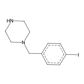 Ic1ccc(CN2CCNCC2)cc1